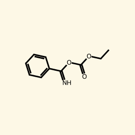 CCOC(=O)OC(=N)c1ccccc1